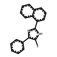 Fc1[nH]c(-c2cccc3ccccc23)nc1-c1ccccc1